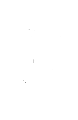 C=C/C=C\C=C(/C)C1(c2ccccc2)c2ccccc2-c2ccc(N(c3ccc4c(c3)oc3ccccc34)c3ccc4c(c3)c3ccccc3n4-c3ccccc3)cc21